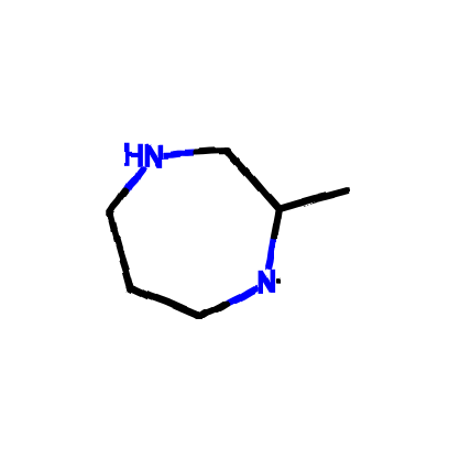 CC1CNCCC[N]1